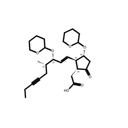 CCC#CC[C@H](C)[C@@H](/C=C/[C@H]1[C@H](OC2CCCCO2)CC(=O)[C@@H]1CC(=O)O)OC1CCCCO1